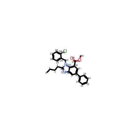 CCCCc1nc2cc(-c3ccccc3)cc(C(=O)OC)c2n1Cc1ccccc1Cl